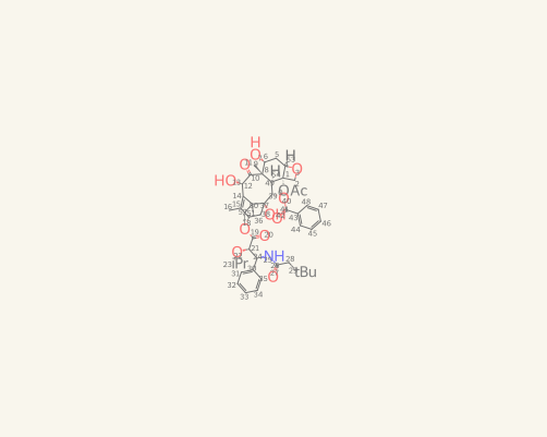 CC(=O)O[C@@]12CO[C@@H]1C[C@H](O)[C@@]1(C)C(=O)[C@H](O)C3=C(C)[C@@H](OC(=O)[C@H](OC(C)C)[C@@H](NC(=O)CC(C)(C)C)c4ccccc4)C[C@@](O)([C@@H](OC(=O)c4ccccc4)[C@H]21)C3(C)C